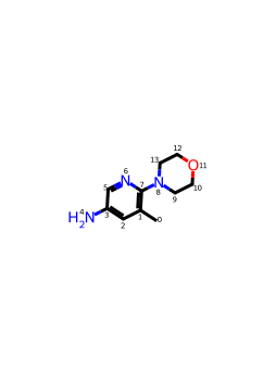 Cc1cc(N)cnc1N1CCOCC1